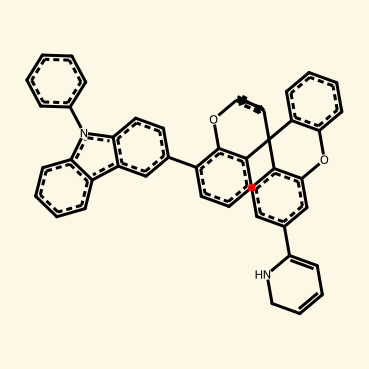 C1=CCNC(c2ccc3c(c2)Oc2ccccc2C32c3ccccc3Oc3c(-c4ccc5c(c4)c4ccccc4n5-c4ccccc4)cccc32)=C1